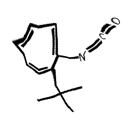 CC(C)(C)c1ccccc1N=C=O